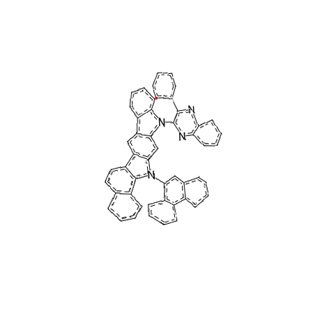 c1ccc(-c2nc3ccccc3nc2-n2c3ccccc3c3cc4c5ccc6ccccc6c5n(-c5cc6ccccc6c6ccccc56)c4cc32)cc1